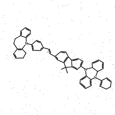 CC1(C)c2cc(/C=C/c3ccc(N4C5=C(C=CCC5)CCc5ccccc54)cc3)ccc2-c2ccc(N3c4ccccc4N(C4=CCCC=C4)C4C=CC=CC43)cc21